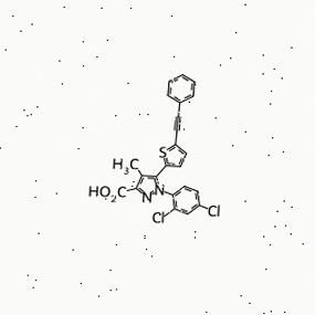 Cc1c(C(=O)O)nn(-c2ccc(Cl)cc2Cl)c1-c1ccc(C#Cc2ccccc2)s1